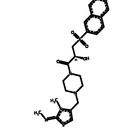 CN=c1scc(CN2CCN(C(=O)[C@H](O)CS(=O)(=O)c3ccc4cc(Cl)ccc4c3)CC2)n1C